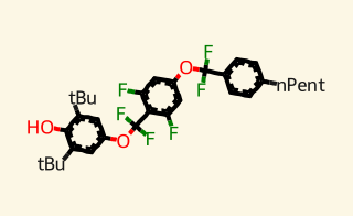 CCCCCc1ccc(C(F)(F)Oc2cc(F)c(C(F)(F)Oc3cc(C(C)(C)C)c(O)c(C(C)(C)C)c3)c(F)c2)cc1